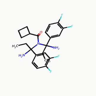 CCC(N)(c1ccc(F)c(F)c1)N(C(=O)C1CCC1)C(N)(CC)c1ccc(F)c(F)c1